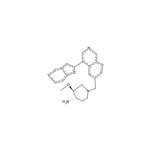 CO[C@H]1CN(Cc2ccc3cncc(-c4cc5ccccc5o4)c3c2)CC[C@@H]1N